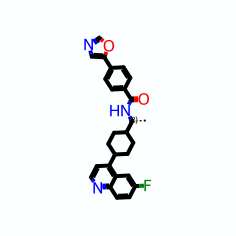 C[C@@H](NC(=O)c1ccc(-c2cnco2)cc1)C1CCC(c2ccnc3ccc(F)cc23)CC1